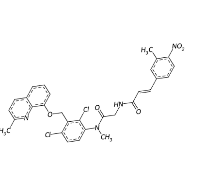 Cc1ccc2cccc(OCc3c(Cl)ccc(N(C)C(=O)CNC(=O)C=Cc4ccc([N+](=O)[O-])c(C)c4)c3Cl)c2n1